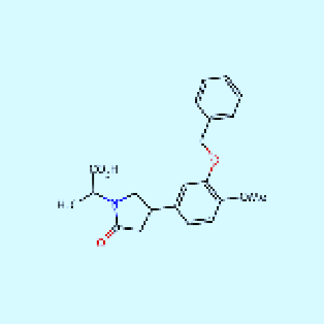 COc1ccc(C2CC(=O)N(C(C)C(=O)O)C2)cc1OCc1ccccc1